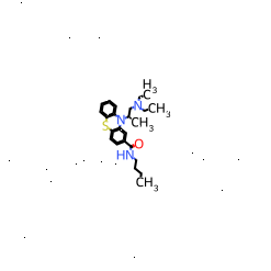 CCCCNC(=O)c1ccc2c(c1)N([C@H](C)CN(CC)CC)c1ccccc1S2